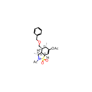 CC(=O)OC1=C[C@@H]2[C@H]([C@@H](COCc3ccccc3)[C@@H]1C)[C@@H](C)N(C(C)=O)S2(=O)=O